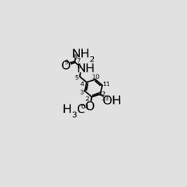 COc1cc(CNC(N)=O)ccc1O